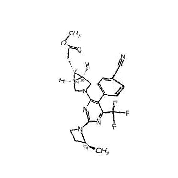 COC(=O)C[C@@H]1[C@H]2CN(c3nc(N4CC[C@@H]4C)nc(C(F)(F)F)c3-c3ccc(C#N)cc3)C[C@@H]12